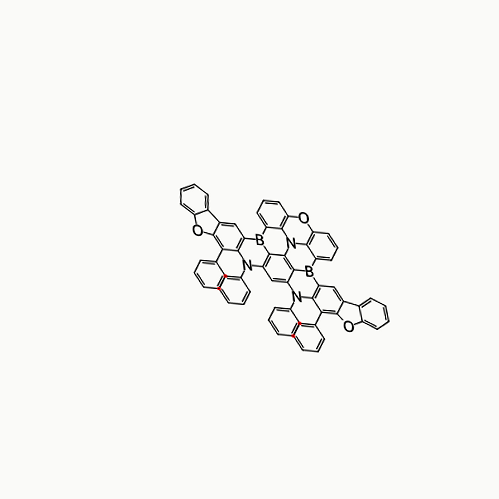 c1ccc(-c2c3c(cc4c2oc2ccccc24)B2c4cccc5c4N4c6c(cccc6B6c7cc8c(oc9ccccc98)c(-c8ccccc8)c7N(c7ccccc7)c7cc(c2c4c76)N3c2ccccc2)O5)cc1